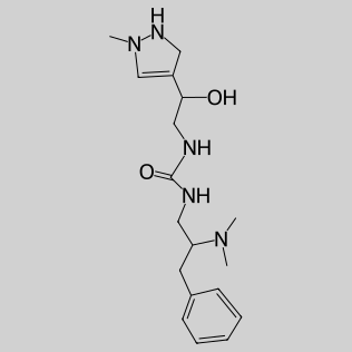 CN1C=C(C(O)CNC(=O)NCC(Cc2ccccc2)N(C)C)CN1